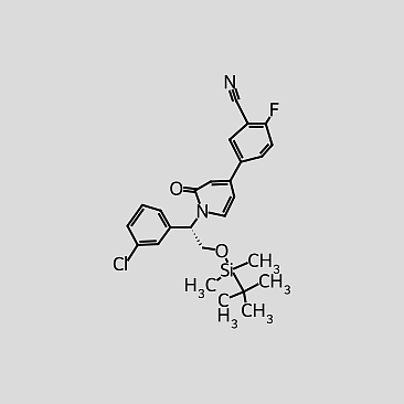 CC(C)(C)[Si](C)(C)OC[C@H](c1cccc(Cl)c1)n1ccc(-c2ccc(F)c(C#N)c2)cc1=O